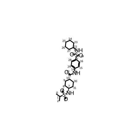 CC(C)S(=O)(=O)N[C@H]1CC[C@H](C(=O)Nc2ccc(S(=O)(=O)NC3CCCCC3)cc2)CC1